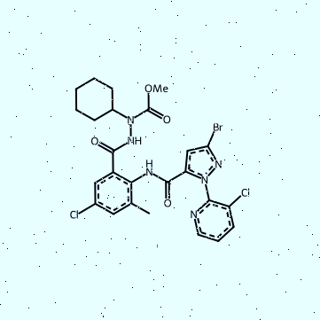 COC(=O)N(NC(=O)c1cc(Cl)cc(C)c1NC(=O)c1cc(Br)nn1-c1ncccc1Cl)C1CCCCC1